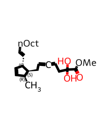 CCCCCCCCC=C[C@H]1C=C[C@H](C)[C@@H]1CC=C=CCC(O)(O)C(=O)OC